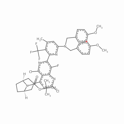 COc1ccc(CN(Cc2ccc(OC)cc2)c2cc(C)c(C(F)(F)F)c(-c3nc(Cl)c4c(N5C[C@H]6CC[C@@H](C5)N6C(=O)OC(C)(C)C)nc(Cl)nc4c3F)n2)cc1